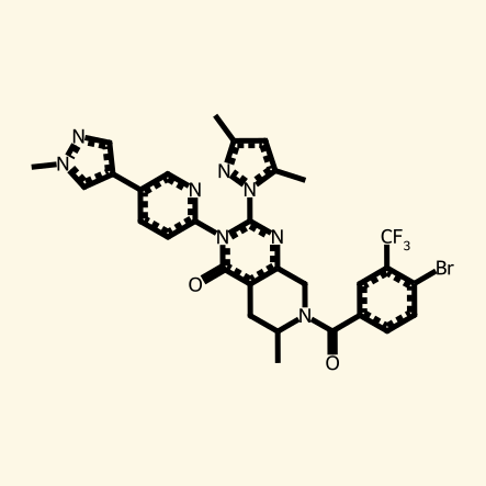 Cc1cc(C)n(-c2nc3c(c(=O)n2-c2ccc(-c4cnn(C)c4)cn2)CC(C)N(C(=O)c2ccc(Br)c(C(F)(F)F)c2)C3)n1